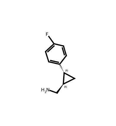 NC[C@@H]1C[C@H]1c1ccc(F)cc1